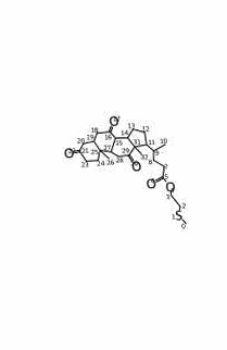 CSCCOC(=O)CCC(C)C1CCC2C3C(=O)CC4CC(=O)CCC4(C)C3CC(=O)C12C